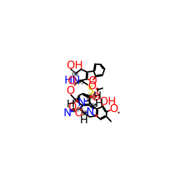 COc1c(C)cc2c(c1O)[C@H]1C3[C@@H]4SC[C@]5(N[C@@H](CO)Cc6c5oc5ccccc65)C(=O)OC[C@@H](c5c6c(c(C)c(OC(C)=O)c54)OCO6)N3[C@@H](C#N)[C@@H](C2)N1C